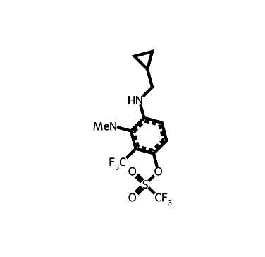 CNc1c(NCC2CC2)ccc(OS(=O)(=O)C(F)(F)F)c1C(F)(F)F